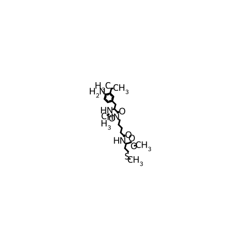 COC(=O)C(CCSC)NC(=O)CCCCNC(=O)C(Cc1ccc(N)c(C(C)C)c1)NC(C)=O